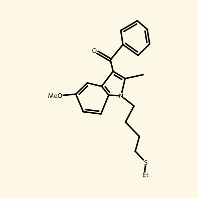 CCSCCCCn1c(C)c(C(=O)c2ccccc2)c2cc(OC)ccc21